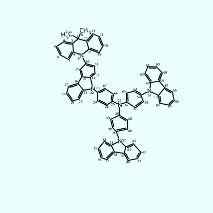 CC1(C)c2ccccc2N(c2ccc3c(c2)c2ccccc2n3-c2ccc(N(c3ccc(-n4c5ccccc5c5ccccc54)cc3)c3ccc(-n4c5ccccc5c5ccccc54)cc3)cc2)c2ccccc21